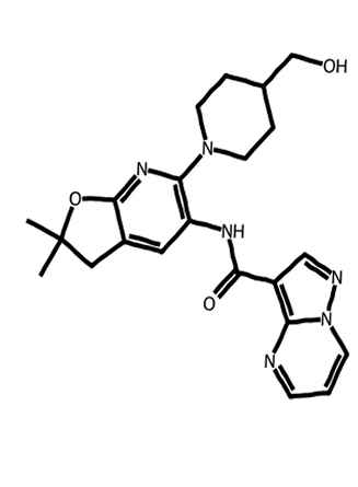 CC1(C)Cc2cc(NC(=O)c3cnn4cccnc34)c(N3CCC(CO)CC3)nc2O1